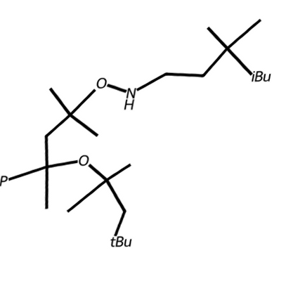 CCC(C)C(C)(C)CCNOC(C)(C)CC(C)(P)OC(C)(C)CC(C)(C)C